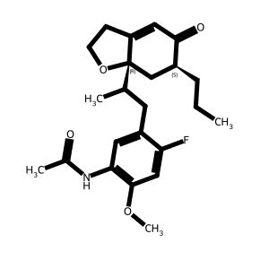 CCC[C@H]1C[C@]2(C(C)Cc3cc(NC(C)=O)c(OC)cc3F)OCCC2=CC1=O